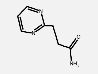 NC(=O)CCc1ncccn1